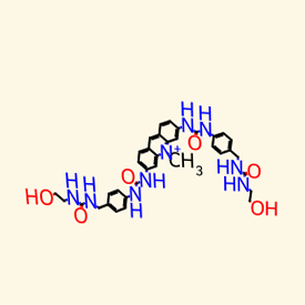 C[n+]1c2cc(NC(=O)Nc3ccc(CNC(=O)NCCO)cc3)ccc2cc2ccc(NC(=O)Nc3ccc(CNC(=O)NCCO)cc3)cc21